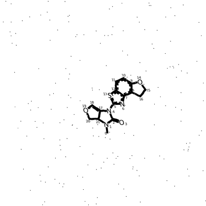 CN1C(=O)N(c2nc3c4c(ccc3s2)OCC4)C2=COCC21